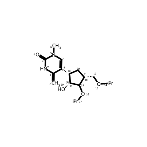 C=C1NC(=O)N(C)C=C1[C@@H]1C[C@H](COC(C)C)C(OC(C)C)[C@@H]1O